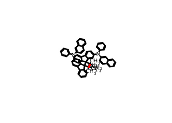 CC(C)(C)C1(C2(C(C)(C)C)c3ccccc3-c3ccc(N(c4ccccc4)c4ccc5ccccc5c4)cc32)c2ccccc2-c2ccc(N(c3ccccc3)c3ccc4ccccc4c3)cc21